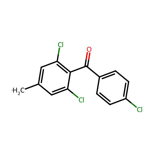 [CH2]c1cc(Cl)c(C(=O)c2ccc(Cl)cc2)c(Cl)c1